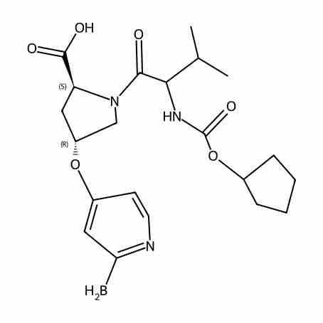 Bc1cc(O[C@@H]2C[C@@H](C(=O)O)N(C(=O)C(NC(=O)OC3CCCC3)C(C)C)C2)ccn1